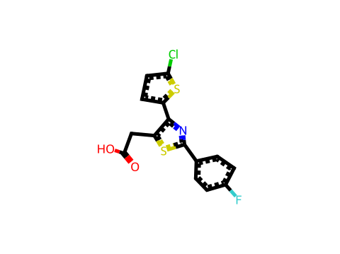 O=C(O)Cc1sc(-c2ccc(F)cc2)nc1-c1ccc(Cl)s1